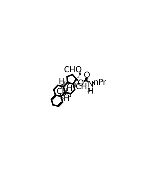 CCCNC(=O)O[C@]1(CC=O)CC[C@H]2[C@@H]3CCC4=CCC=C[C@]4(C)[C@H]3CC[C@@]21C